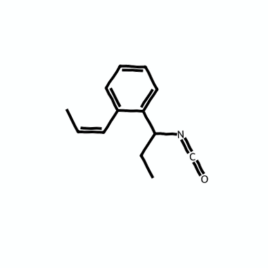 C/C=C\c1ccccc1C(CC)N=C=O